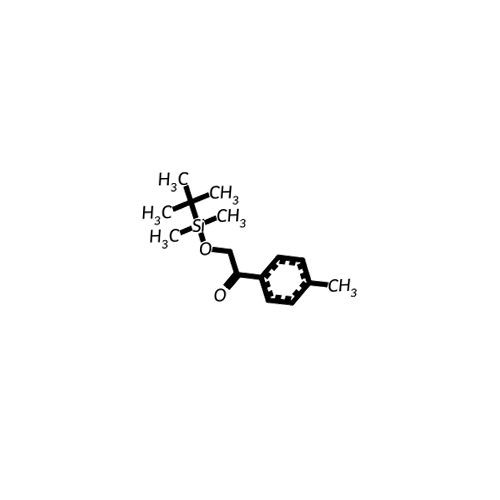 Cc1ccc(C(=O)CO[Si](C)(C)C(C)(C)C)cc1